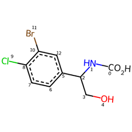 O=C(O)NC(CO)c1ccc(Cl)c(Br)c1